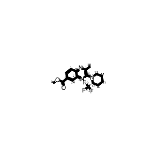 COC(=O)c1ccc2nc(C)c(N3CCCC[C@@H]3C(F)(F)F)nc2c1